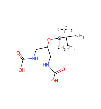 CC(C)(C)[Si](C)(C)OC(CNC(=O)O)CNC(=O)O